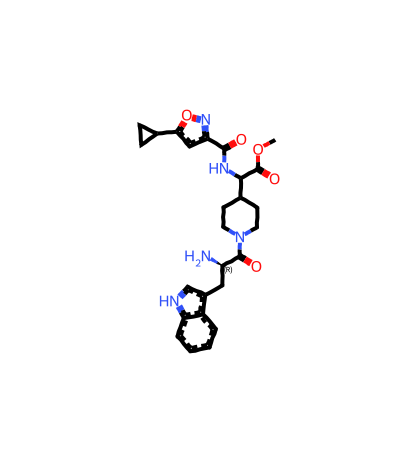 COC(=O)C(NC(=O)c1cc(C2CC2)on1)C1CCN(C(=O)[C@H](N)Cc2c[nH]c3ccccc23)CC1